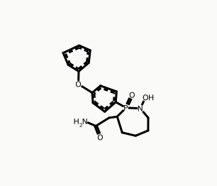 NC(=O)CC1CCCCN(O)P1(=O)c1ccc(Oc2ccccc2)cc1